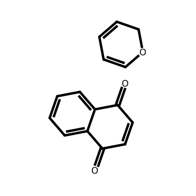 C1=CCOC=C1.O=C1C=CC(=O)c2ccccc21